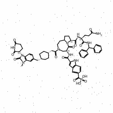 Cn1c(=O)n([C@H]2CCC(=O)NC2=O)c2ccc(C[C@H]3CC[C@@H](CC(=O)N4CCC5CC[C@@H](C(=O)N[C@@H](CCC(N)=O)C(=O)NC(c6ccccc6)c6ccccc6)N5C(=O)[C@@H](NC(=O)c5cc6cc(C(=O)P(=O)(O)O)ccc6[nH]5)C4)CC3)cc21